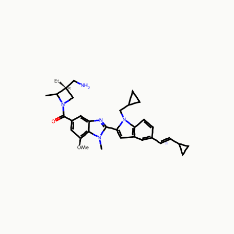 CC[C@@]1(CN)CN(C(=O)c2cc(OC)c3c(c2)nc(-c2cc4cc(/C=C/C5CC5)ccc4n2CC2CC2)n3C)C1C